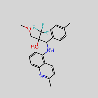 COCC(O)(C(Nc1cccc2nc(C)ccc12)c1ccc(C)cc1)C(F)(F)F